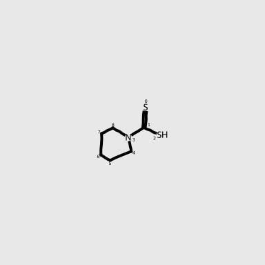 S=C(S)N1CCCCC1